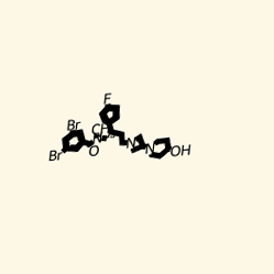 CN(C[C@@H](CCN1CC(N2CCC(O)CC2)C1)c1ccc(F)cc1)C(=O)c1cc(Br)cc(Br)c1